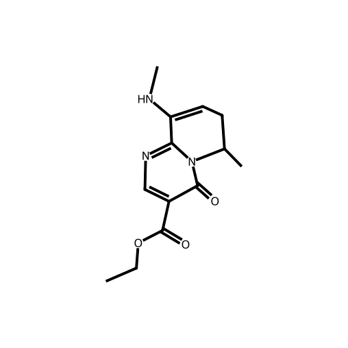 CCOC(=O)c1cnc2n(c1=O)C(C)CC=C2NC